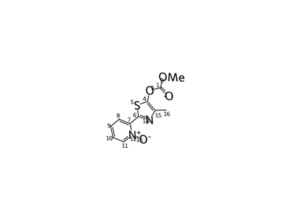 COC(=O)Oc1sc(-c2cccc[n+]2[O-])nc1C